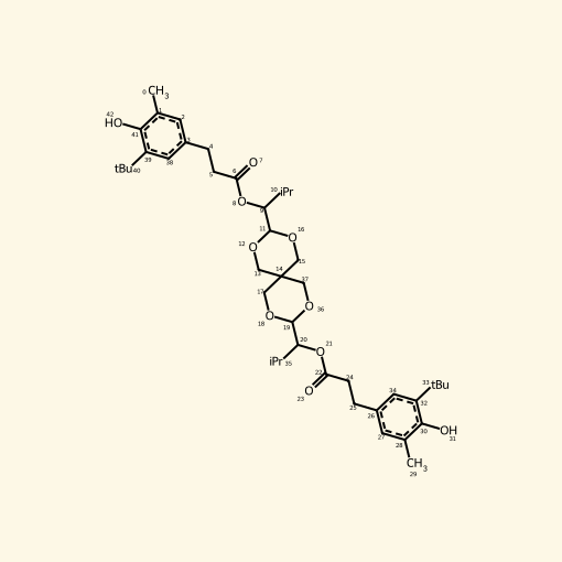 Cc1cc(CCC(=O)OC(C(C)C)C2OCC3(CO2)COC(C(OC(=O)CCc2cc(C)c(O)c(C(C)(C)C)c2)C(C)C)OC3)cc(C(C)(C)C)c1O